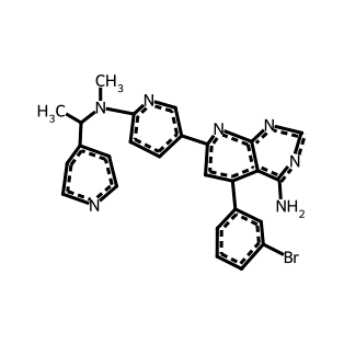 CC(c1ccncc1)N(C)c1ccc(-c2cc(-c3cccc(Br)c3)c3c(N)ncnc3n2)cn1